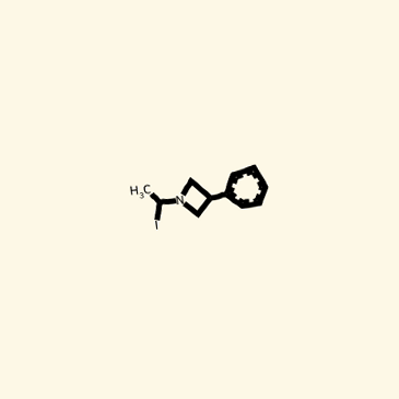 CC(I)N1CC(c2ccccc2)C1